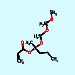 C=CC(=O)O[Si](C)(CCC)O[SiH2]O[SiH2]O[SiH3]